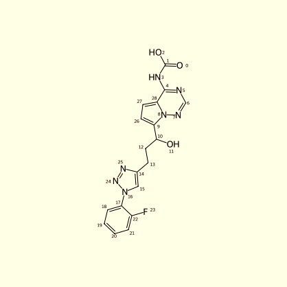 O=C(O)Nc1ncnn2c(C(O)CCc3cn(-c4ccccc4F)nn3)ccc12